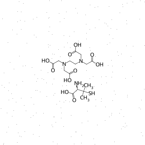 CC(C)(S)[C@H](N)C(=O)O.O=C(O)CN(CCN(CC(=O)O)CC(=O)O)CC(=O)O